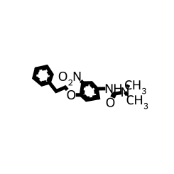 CN(C)C(=O)Nc1ccc(OCCc2ccccc2)c([N+](=O)[O-])c1